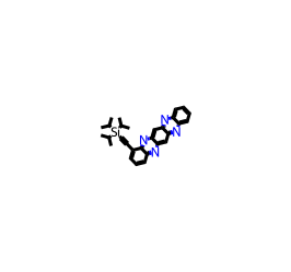 CC(C)[Si](C#Cc1cccc2nc3cc4nc5ccccc5nc4cc3nc12)(C(C)C)C(C)C